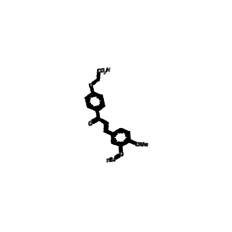 CCCCOc1cc(/C=C/C(=O)c2ccc(OCC(=O)O)cc2)ccc1OC